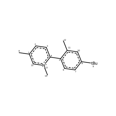 Cc1ccc(-c2ccc(C(C)(C)C)cc2C)[n+](C)c1